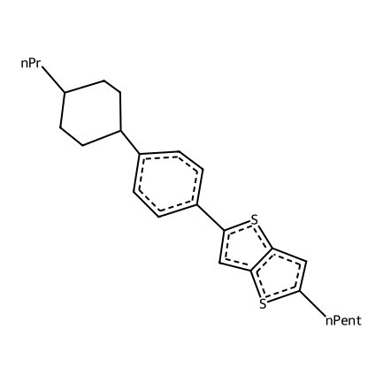 CCCCCc1cc2sc(-c3ccc(C4CCC(CCC)CC4)cc3)cc2s1